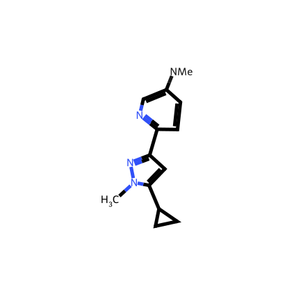 CNc1ccc(-c2cc(C3CC3)n(C)n2)nc1